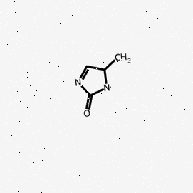 CC1C=NC(=O)[N]1